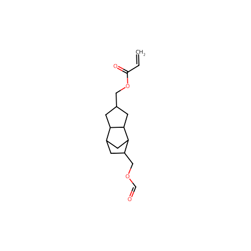 C=CC(=O)OCC1CC2C3CC(COC=O)C(C3)C2C1